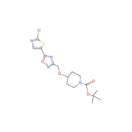 CC(C)(C)OC(=O)N1CCC(OCc2noc(-c3cnc(Cl)s3)n2)CC1